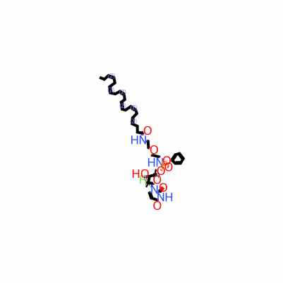 CC/C=C\C/C=C\C/C=C\C/C=C\C/C=C\C/C=C\CCC(=O)NCCOCCNP(=O)(OC[C@H]1OC(n2ccc(=O)[nH]c2=O)[C@](C)(F)[C@@H]1O)Oc1ccccc1